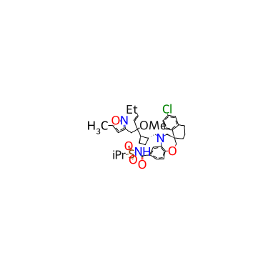 CC/C=C/[C@](Cc1cc(C)on1)(OC)[C@@H]1CC[C@H]1CN1C[C@@]2(CCCc3cc(Cl)ccc32)COc2ccc(C(=O)NS(=O)(=O)C(C)C)cc21